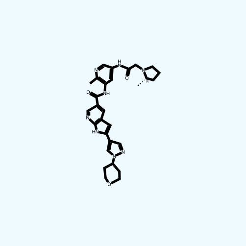 Cc1ncc(NC(=O)CN2CCC[C@@H]2C)cc1NC(=O)c1cnc2[nH]c(-c3cnn(C4CCOCC4)c3)cc2c1